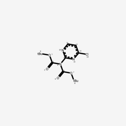 CC(C)(C)OC(=O)N(C(=O)OC(C)(C)C)c1nccc(Cl)n1